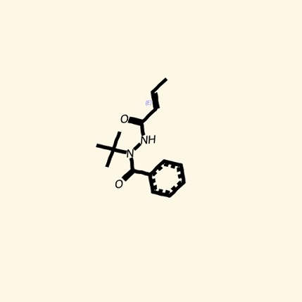 C/C=C/C(=O)NN(C(=O)c1ccccc1)C(C)(C)C